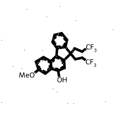 COc1ccc2c3c(cc(O)c2c1)C(CCC(F)(F)F)(CCC(F)(F)F)c1ccccc1-3